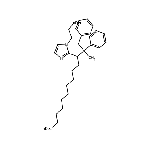 CCCCCCCCCCCCCCCCCCCC(c1nccn1CCCCCCCCCCCC)C(C)(Cc1ccccc1)c1ccccc1